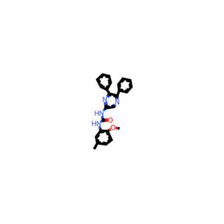 COc1ccc(C)cc1NC(=O)Nc1cnc(-c2ccccc2)c(-c2ccccc2)n1